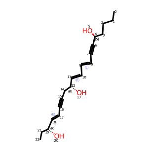 CCCC[C@H](O)C#C/C=C/C=C/[C@H](O)CC#C/C=C/[C@H](O)CC